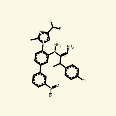 Cc1nc(C(F)F)cn1-c1ccc(-c2cccc([SH](=O)=O)c2)cc1N(N)/C(=C\N)C(C)c1ccc(Cl)cc1